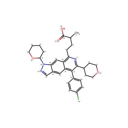 CC(CCc1nc(C2CCOCC2)c(-c2ccc(F)cc2)c2cc3cnn(C4CCCCO4)c3cc12)C(=O)O